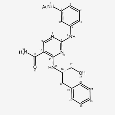 CC(=O)Nc1cccc(Nc2ncc(C(N)=O)c(N[C@H](CO)Cc3ccccc3)n2)c1